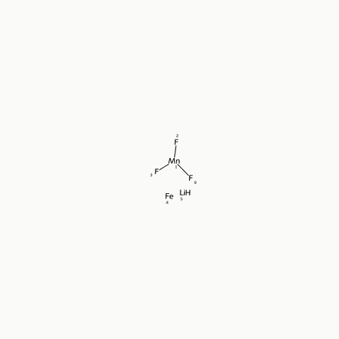 [F][Mn]([F])[F].[Fe].[LiH]